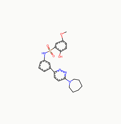 COc1ccc(O)c(S(=O)(=O)Nc2cccc(-c3ccc(N4CCCCCC4)nn3)c2)c1